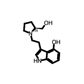 OC[C@@H]1CCCN1CCc1c[nH]c2cccc(O)c12